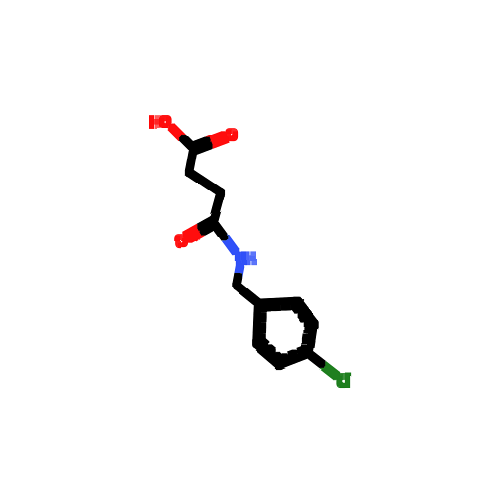 O=C(O)CCC(=O)NCc1[c]cc(Cl)cc1